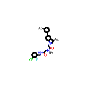 CC(=O)c1cccc(-c2ccc3c(c2)c(C(C)=O)cn3CC(=O)N(CC(=O)NCc2cccc(Cl)c2F)C(C)C)c1